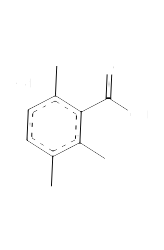 Cc1ccc(C)c(C(=O)O)c1C.[Cd]